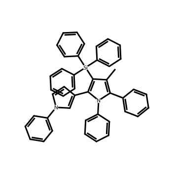 Cc1c([Si](c2ccccc2)(c2ccccc2)c2ccccc2)c(-c2ccn(-c3ccccc3)c2)n(-c2ccccc2)c1-c1ccccc1